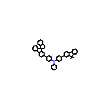 CC1(C)c2ccccc2-c2ccc(-c3ccc(N(c4ccccc4)c4ccc(-c5ccc6c(c5)C5(CCc7ccccc75)c5ccccc5-6)cc4)cc3)cc21